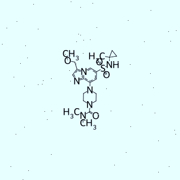 COCc1cnc2c(N3CCN(C(=O)N(C)C)CC3)cc(S(=O)(=O)NC3(C)CC3)cn12